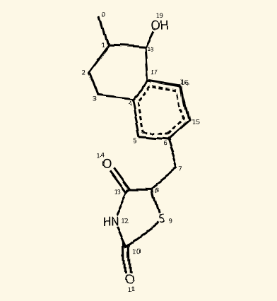 CC1CCc2cc(CC3SC(=O)NC3=O)ccc2C1O